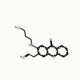 C=CCc1cc2sc3ccccc3c(=O)c2cc1NCCCC